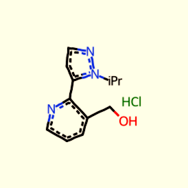 CC(C)n1nccc1-c1ncccc1CO.Cl